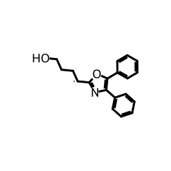 OCCC[CH]c1nc(-c2ccccc2)c(-c2ccccc2)o1